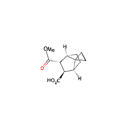 COC(=O)[C@H]1[C@H](C(=O)O)[C@@H]2CC[C@H]1C21CC1